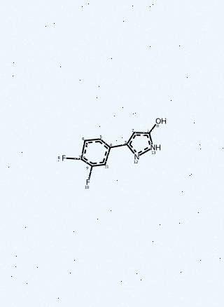 Oc1cc(-c2ccc(F)c(F)c2)n[nH]1